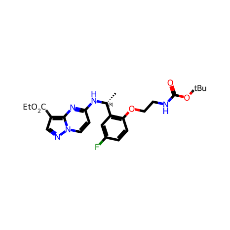 CCOC(=O)c1cnn2ccc(N[C@H](C)c3cc(F)ccc3OCCNC(=O)OC(C)(C)C)nc12